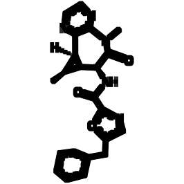 C[C@@H]1C2[C@H](NC(=O)c3ncc(Cc4ccccc4)o3)C(=O)N(C)c3nccnc3[C@@H]21